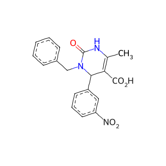 CC1=C(C(=O)O)C(c2cccc([N+](=O)[O-])c2)N(Cc2ccccc2)C(=O)N1